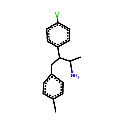 Cc1ccc(CC(c2ccc(Cl)cc2)C(C)N)cc1